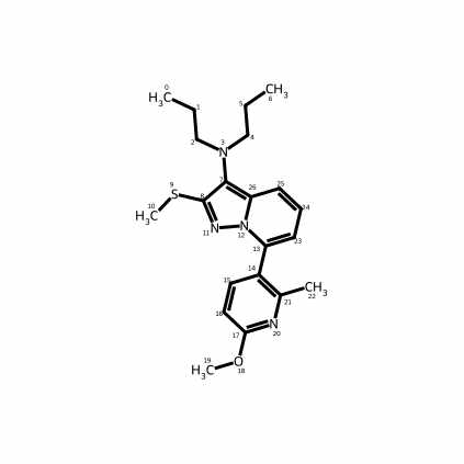 CCCN(CCC)c1c(SC)nn2c(-c3ccc(OC)nc3C)cccc12